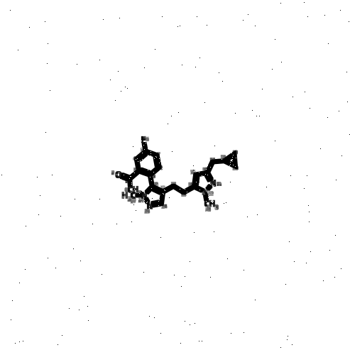 CC(=O)c1cc(F)ccc1-c1c(CCc2cc(CC3CC3)nn2C)cnn1C